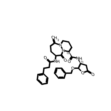 C=C1CCC(NC(=O)CCc2ccccc2)C(=O)N2[C@H](C(=O)N[C@H]3CC(=O)OC3OCc3ccccc3)CCCN12